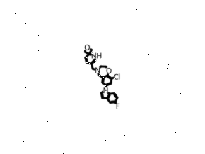 Fc1ccc2c(ccn2-c2cc(Cl)c3c(c2)CN(CC2=CNC4(C=C2)COC4)CCO3)c1